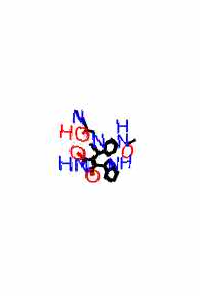 CC(=O)Nc1ccc2c(C3=C(c4c[nH]c5ccccc45)C(=O)NC3=O)cn(CC(O)CN(C)C)c2c1